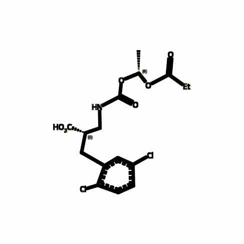 CCC(=O)O[C@@H](C)OC(=O)NC[C@H](Cc1cc(Cl)ccc1Cl)C(=O)O